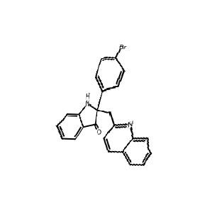 O=C1c2ccccc2NC1(Cc1ccc2ccccc2n1)c1ccc(Br)cc1